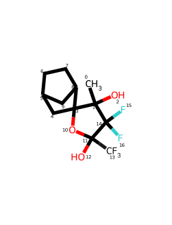 CC1(O)C2(CC3CCC2C3)OC(O)(C(F)(F)F)C1(F)F